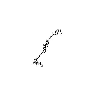 C=CC(=O)OCCCCCCCOc1ccc(OC(=O)c2ccc(OCCCCCCCCCC3CC(=C)C(=O)O3)cc2)cc1